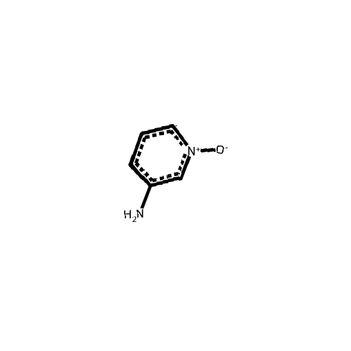 Nc1cc[c][n+]([O-])c1